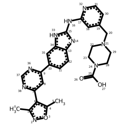 Cc1noc(C)c1-c1cc(-c2ccc3nc(Nc4cc(CN5CCN(C(=O)O)CC5)ccn4)[nH]c3c2)ncn1